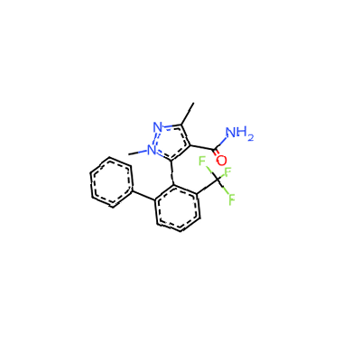 Cc1nn(C)c(-c2c(-c3ccccc3)cccc2C(F)(F)F)c1C(N)=O